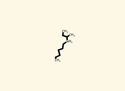 CCCCCC[SiH2]C(C)CC